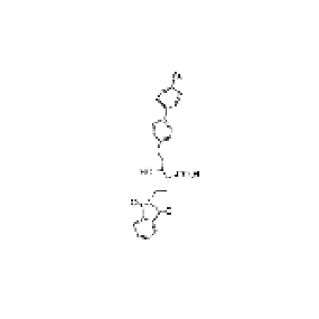 CC(=O)c1ccc(-c2ccc(CCC(O)C(CCN3C(=O)c4ccccc4C3=O)C(=O)O)cc2)cc1